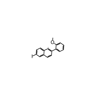 COc1ccccc1-c1[c]c2ccc(I)cc2cc1